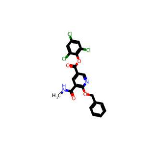 CNC(=O)c1cc(C(=O)Oc2c(Cl)cc(Cl)cc2Cl)cnc1OCc1ccccc1